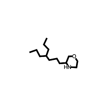 CCCC(CCC)CCCC1COCCN1